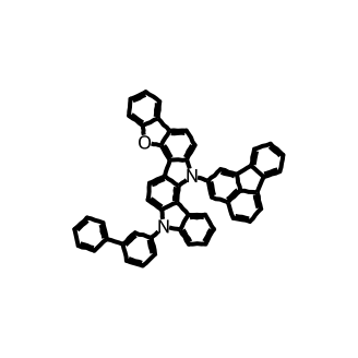 c1ccc(-c2cccc(-n3c4ccccc4c4c3ccc3c5c6oc7ccccc7c6ccc5n(-c5cc6c7c(cccc7c5)-c5ccccc5-6)c34)c2)cc1